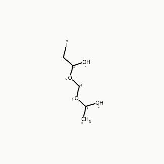 CC(O)OCOC(O)CI